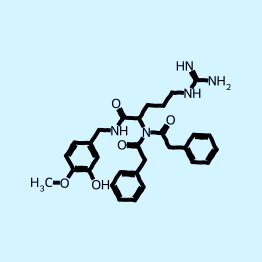 COc1ccc(CNC(=O)C(CCCNC(=N)N)N(C(=O)Cc2ccccc2)C(=O)Cc2ccccc2)cc1O